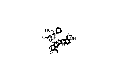 CC[C@@]1(O)C(=O)OCc2c1cc1n(c2=O)Cc2cc3c(CN(C)C)c(O)ccc3nc2-1.Cl.O=NN(CCCl)C(=O)NC1CCCCC1